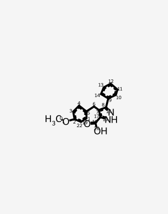 COc1ccc(Cc2c(-c3ccccc3)n[nH]c2C(=O)O)cc1